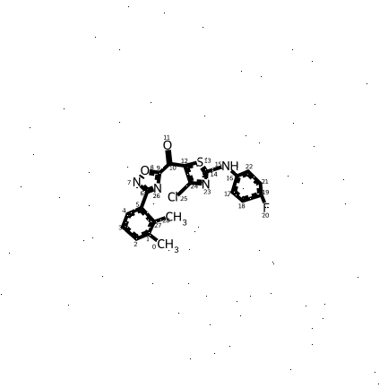 Cc1cccc(-c2noc(C(=O)c3sc(Nc4ccc(F)cc4)nc3Cl)n2)c1C